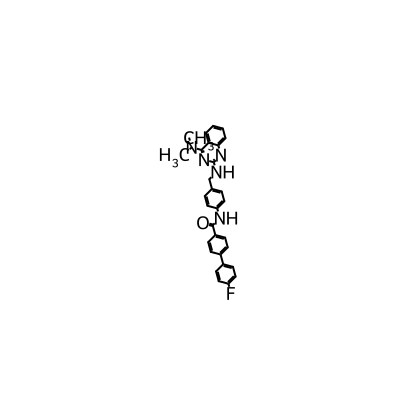 CN(C)c1nc(NCc2ccc(NC(=O)c3ccc(-c4ccc(F)cc4)cc3)cc2)nc2ccccc12